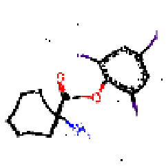 NC1(C(=O)Oc2c(I)cc(I)cc2I)CCCCC1